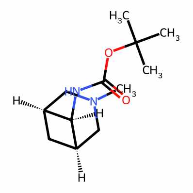 CN1C[C@H]2C[C@@H](C1)[C@H]2NC(=O)OC(C)(C)C